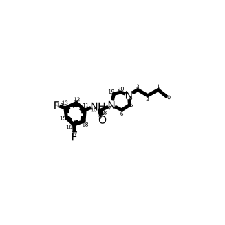 CCCCN1CCN(C(=O)Nc2cc(F)cc(F)c2)CC1